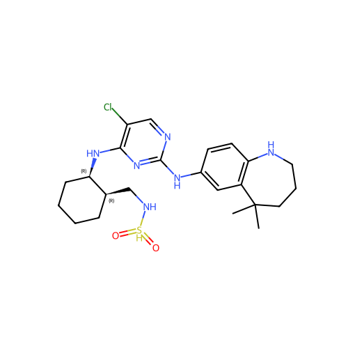 CC1(C)CCCNc2ccc(Nc3ncc(Cl)c(N[C@@H]4CCCC[C@@H]4CN[SH](=O)=O)n3)cc21